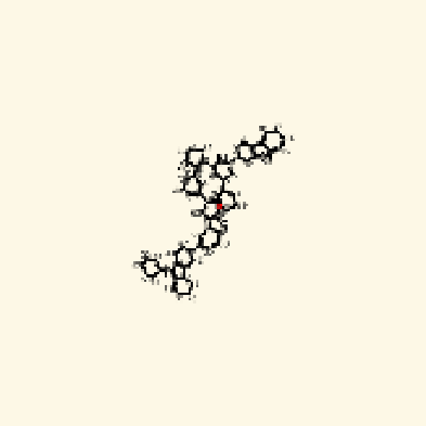 c1ccc(-c2cc(-c3ccc4c(c3)oc3ccccc34)nc(-c3cccc4oc5ccc(-c6ccc7sc8ccc(-c9ccc%10c(c9)c9ccccc9n%10-c9ccccc9)cc8c7c6)cc5c34)c2)cc1